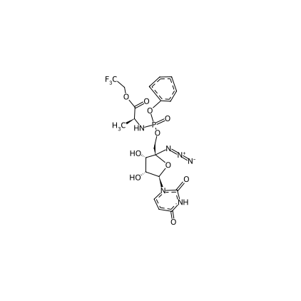 C[C@H](NP(=O)(OC[C@@]1(N=[N+]=[N-])O[C@@H](n2ccc(=O)[nH]c2=O)[C@H](O)[C@@H]1O)Oc1ccccc1)C(=O)OCC(F)(F)F